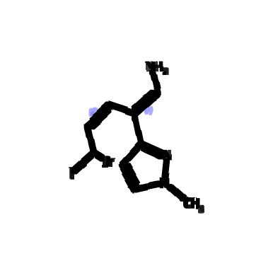 Cn1ccc(C(/C=C\C(Br)I)=C/N)n1